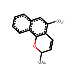 CC(=O)OC1C=Cc2c(C(=O)O)cc3ccccc3c2O1